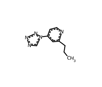 CCCc1cc(-n2cnnn2)ccn1